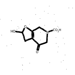 O=C1CN(C(=O)O)CC2=C1CC(O)O2